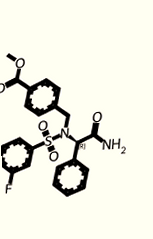 COC(=O)c1ccc(CN([C@@H](C(N)=O)c2ccccc2)S(=O)(=O)c2cccc(F)c2)cc1